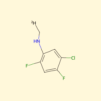 [2H]CNc1cc(Cl)c(F)cc1F